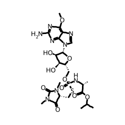 COc1nc(N)nc2c1ncn2[C@@H]1O[C@H](COP(=O)(N[C@H](C)C(=O)OC(C)C)SC[C@@H]2C(=O)N(C)C(=O)N2C)[C@@H](O)[C@H]1O